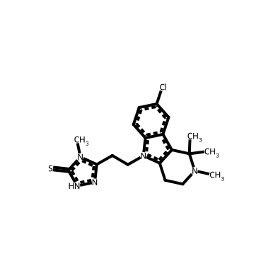 CN1CCc2c(c3cc(Cl)ccc3n2CCc2n[nH]c(=S)n2C)C1(C)C